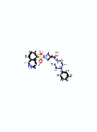 O=C(C1CN(S(=O)(=O)c2cccc3cnccc23)C1)N1CCN(c2ccccc2)CC1